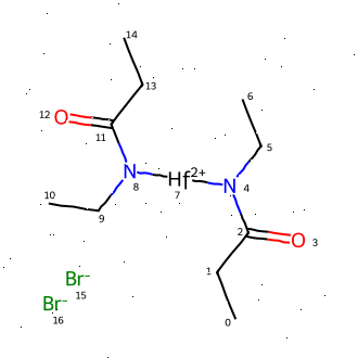 CCC(=O)[N](CC)[Hf+2][N](CC)C(=O)CC.[Br-].[Br-]